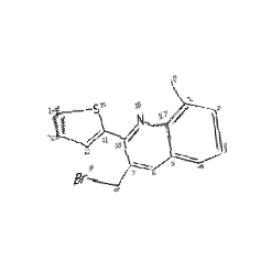 Cc1cccc2cc(CBr)c(-c3cccs3)nc12